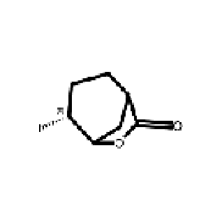 O=C1OC2CC1CC[C@H]2I